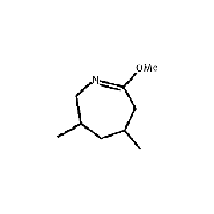 COC1=NCC(C)CC(C)C1